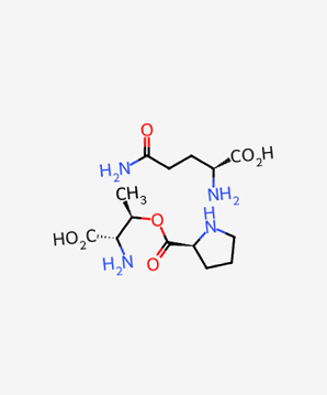 C[C@@H](OC(=O)[C@@H]1CCCN1)[C@H](N)C(=O)O.NC(=O)CC[C@H](N)C(=O)O